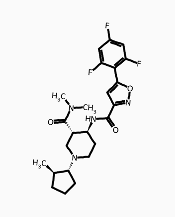 C[C@@H]1CCC[C@H]1N1CC[C@H](NC(=O)c2cc(-c3c(F)cc(F)cc3F)on2)[C@@H](C(=O)N(C)C)C1